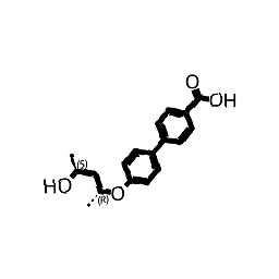 C[C@H](O)C[C@@H](C)Oc1ccc(-c2ccc(C(=O)O)cc2)cc1